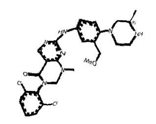 COCc1cc(Nc2ncc3c(n2)N(C)CN(c2c(Cl)cccc2Cl)C3=O)ccc1N1CCN[C@H](C)C1